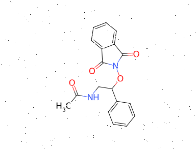 CC(=O)NCC(ON1C(=O)c2ccccc2C1=O)c1ccccc1